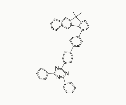 CC1(C)c2cc3ccccc3cc2-c2c(-c3ccc(-c4ccc(-c5nc(-c6ccccc6)nc(-c6ccccc6)n5)cc4)cc3)cccc21